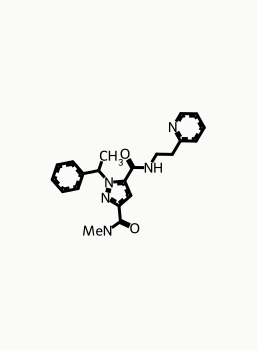 CNC(=O)c1cc(C(=O)NCCc2ccccn2)n(C(C)c2ccccc2)n1